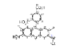 CC/N=c1\cc2oc3cc(N)c(C)cc3c(-c3ccc(C(=O)O)cc3C(=O)O)c-2cc1C